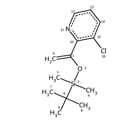 C=C(O[Si](C)(C)C(C)(C)C)c1ncccc1Cl